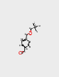 CC(C)(C)COCc1ccc(C=O)cc1